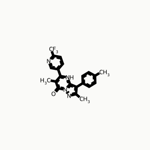 Cc1ccc(-c2c(C)nn3c(=O)c(C)c(-c4ccc(C(F)(F)F)nc4)[nH]c23)cc1